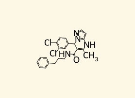 CC1=C(C(=O)NCCCc2ccccc2)C(c2ccc(Cl)c(Cl)c2)n2nccc2N1